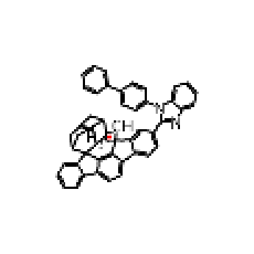 CC1(C)c2cc(-c3nc4ccccc4n3-c3ccc(-c4ccccc4)cc3)ccc2-c2ccc3c(c21)C1(c2ccccc2-3)C2CC3CC(C2)CC1C3